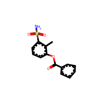 Cc1c(OC(=O)c2ccccc2)cccc1S(N)(=O)=O